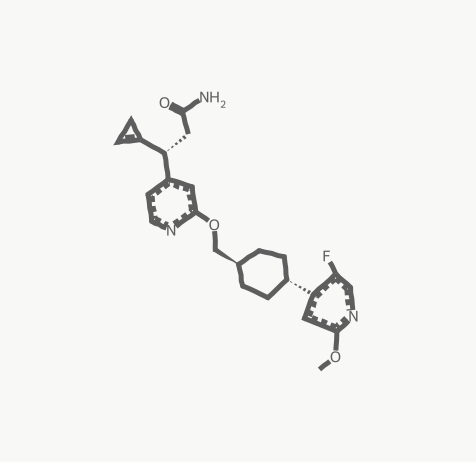 COc1cc([C@H]2CC[C@H](COc3cc([C@@H](CC(N)=O)C4=CC4)ccn3)CC2)c(F)cn1